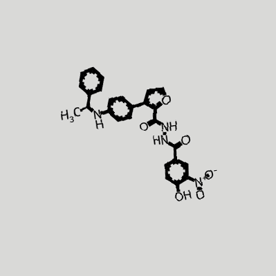 C[C@H](Nc1ccc(-c2ccoc2C(=O)NNC(=O)c2ccc(O)c([N+](=O)[O-])c2)cc1)c1ccccc1